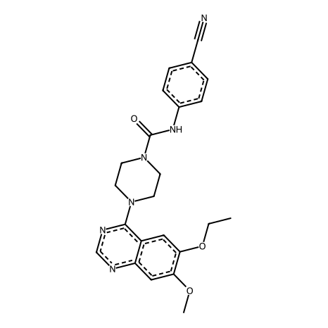 CCOc1cc2c(N3CCN(C(=O)Nc4ccc(C#N)cc4)CC3)ncnc2cc1OC